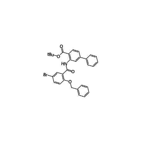 CC(C)(C)OC(=O)c1ccc(-c2ccccc2)cc1NC(=O)c1cc(Br)ccc1OCc1ccccc1